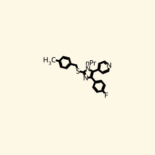 CCCn1c(SCc2ccc(C)cc2)nc(-c2ccc(F)cc2)c1-c1ccncc1